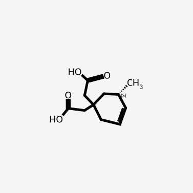 C[C@@H]1C=CCC(CC(=O)O)(CC(=O)O)C1